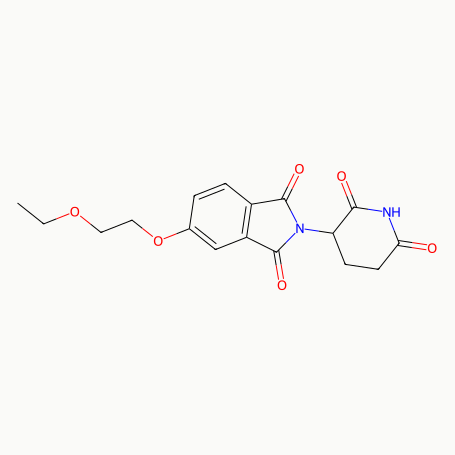 CCOCCOc1ccc2c(c1)C(=O)N(C1CCC(=O)NC1=O)C2=O